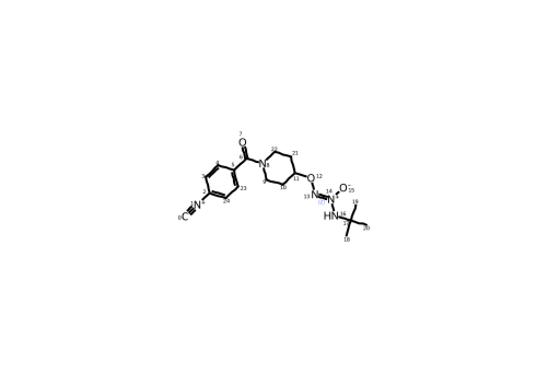 [C-]#[N+]c1ccc(C(=O)N2CCC(O/N=[N+](\[O-])NC(C)(C)C)CC2)cc1